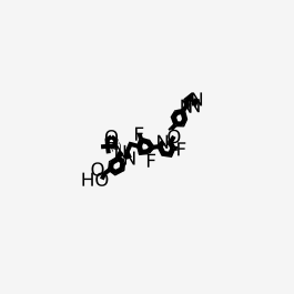 CC1(C)COC[C@H]1n1c(Cc2cc(F)c(-c3ccc(F)c(OCc4ccc(-n5ccnn5)cc4)n3)cc2F)nc2ccc(C(=O)O)cc21